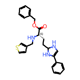 O=C(OCc1ccccc1)[C@H](CCC1NC=C(c2ccccc2)N1)NCc1ccsc1